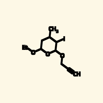 C#CCOC1OC(OCC)CC(C)C1I